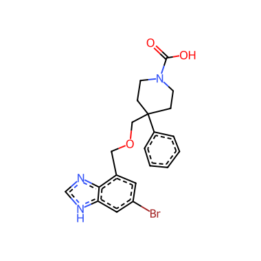 O=C(O)N1CCC(COCc2cc(Br)cc3[nH]cnc23)(c2ccccc2)CC1